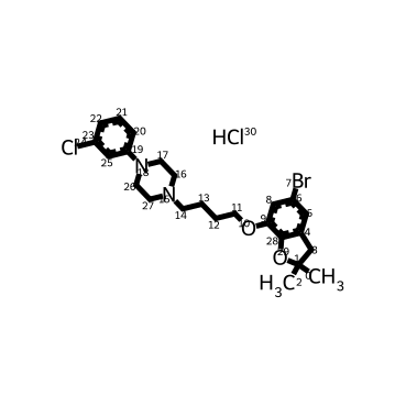 CC1(C)Cc2cc(Br)cc(OCCCCN3CCN(c4cccc(Cl)c4)CC3)c2O1.Cl